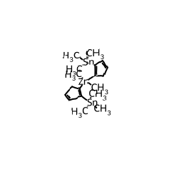 [CH3][Zr]([CH3])([C]1=[C]([Sn]([CH3])([CH3])[CH3])C=CC1)[C]1=[C]([Sn]([CH3])([CH3])[CH3])C=CC1